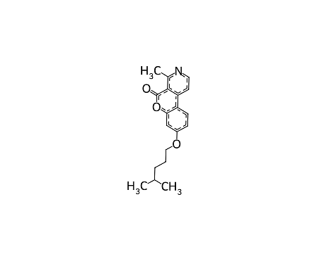 Cc1nccc2c1c(=O)oc1cc(OCCCC(C)C)ccc12